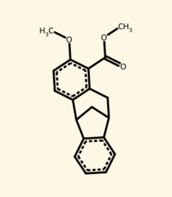 COC(=O)c1c(OC)ccc2c1CC1CC2c2ccccc21